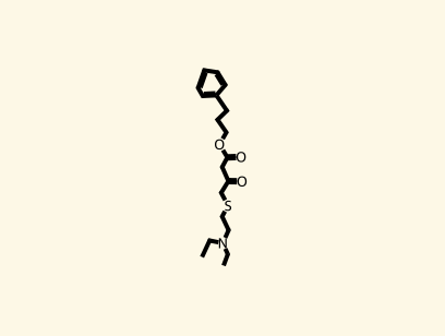 CCN(CC)CCSCC(=O)CC(=O)OCCCc1ccccc1